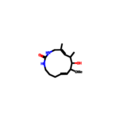 COC1/C=C/CCCNC(=O)NC/C(C)=C/C(C)C1O